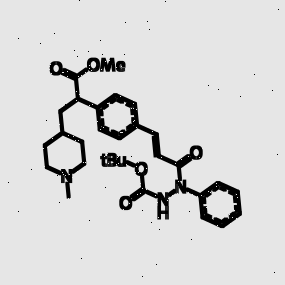 COC(=O)C(CC1CCN(C)CC1)c1ccc(C=CC(=O)N(NC(=O)OC(C)(C)C)c2ccccc2)cc1